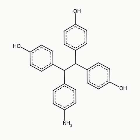 Nc1ccc(C(c2ccc(O)cc2)C(c2ccc(O)cc2)c2ccc(O)cc2)cc1